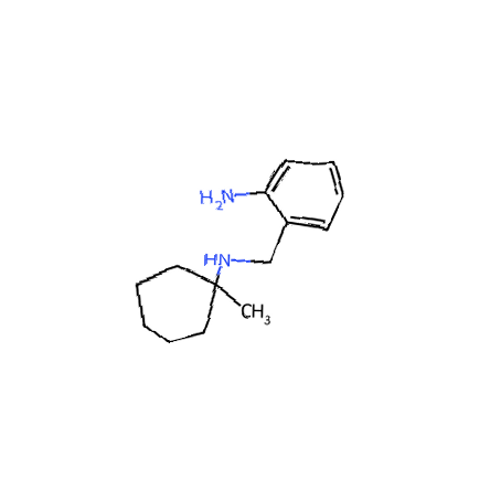 CC1(NCc2ccccc2N)CCCCC1